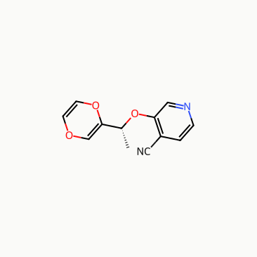 C[C@@H](Oc1cnccc1C#N)C1=COC=CO1